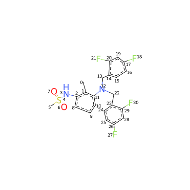 Cc1c(NS(C)(=O)=O)cccc1N(Cc1ccc(F)cc1F)Cc1ccc(F)cc1F